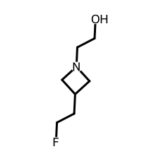 OCCN1CC(CCF)C1